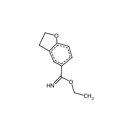 CCOC(=N)c1ccc2c(c1)CCO2